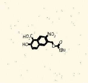 CC(C)(C)C(=O)OCc1cc2ccc(O)c(C(=O)O)c2cc1[N+](=O)[O-]